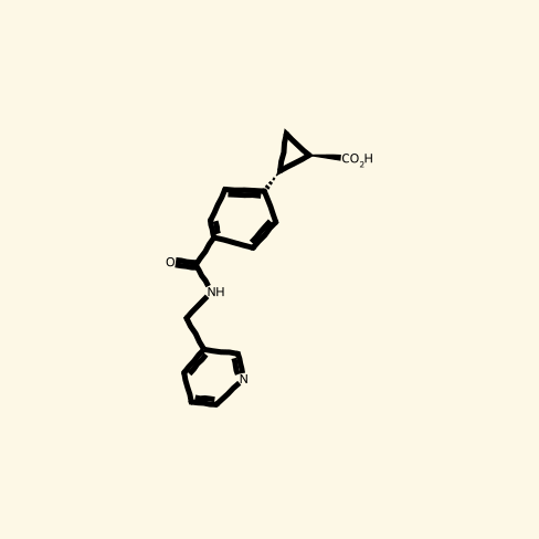 O=C(NCc1cccnc1)c1ccc([C@@H]2C[C@H]2C(=O)O)cc1